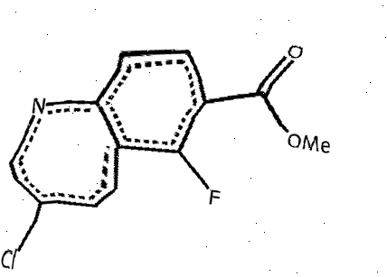 COC(=O)c1ccc2ncc(Cl)cc2c1F